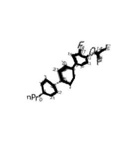 CCC[C@H]1CC[C@H](C2CCC(c3ccc(OC(F)F)c(F)c3)CC2)CC1